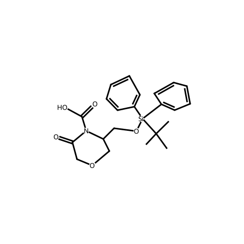 CC(C)(C)[Si](OCC1COCC(=O)N1C(=O)O)(c1ccccc1)c1ccccc1